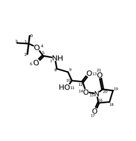 CC(C)(C)OC(=O)NCCC(O)C(=O)ON1C(=O)CCC1=O